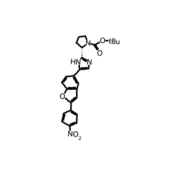 CC(C)(C)OC(=O)N1CCC[C@H]1c1ncc(-c2ccc3oc(-c4ccc([N+](=O)[O-])cc4)cc3c2)[nH]1